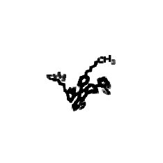 CCCCCCc1ccc(C2(c3ccc(CCCCCC)cc3)c3cc(-c4cccs4)ccc3-c3sccc32)cc1